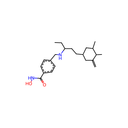 C=C1CC(CCC(CC)NCc2ccc(C(=O)NO)cc2)CC(C)C1C